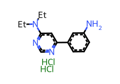 CCN(CC)c1cc(-c2cccc(N)c2)ncn1.Cl.Cl